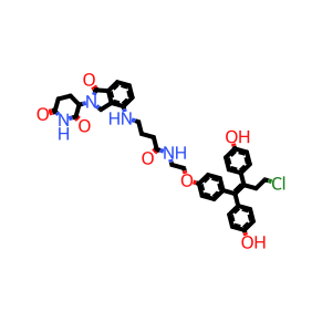 O=C(CCCNc1cccc2c1CN(C1CCC(=O)NC1=O)C2=O)NCCOc1ccc(C(=C(CCCl)c2ccc(O)cc2)c2ccc(O)cc2)cc1